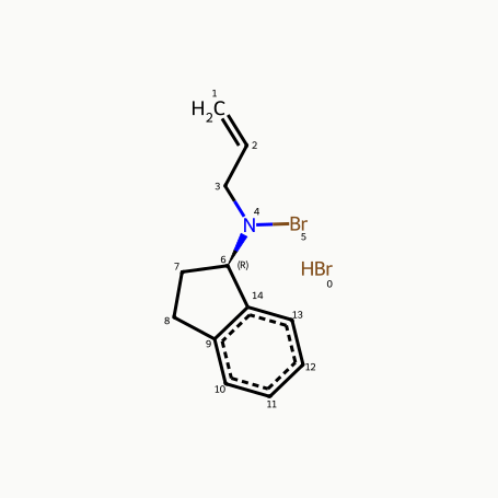 Br.C=CCN(Br)[C@@H]1CCc2ccccc21